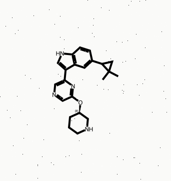 CC1(C)CC1c1ccc2[nH]cc(-c3cncc(O[C@@H]4CCCNC4)n3)c2c1